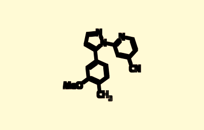 COc1cc(-c2ccnn2-c2cc(C#N)ccn2)ccc1C